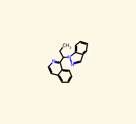 CCC(c1nccc2ccccc12)n1ncc2ccccc21